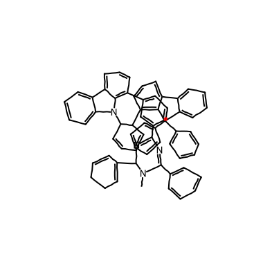 CN1C(c2ccccc2)=NC(c2cccc(-c3cccc4c5ccccc5n(C5C=CC=CC5c5cccc6c5C(c5ccccc5)(c5ccccc5)c5ccccc5-6)c34)c2)=NC1C1=CCCC=C1